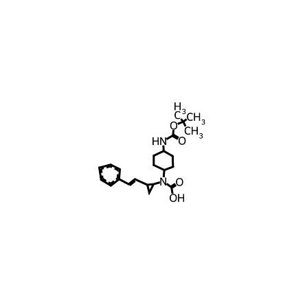 CC(C)(C)OC(=O)NC1CCC(N(C(=O)O)C2CC2C=Cc2ccccc2)CC1